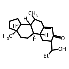 CCC(O)C1C[C@H]2C(=CC1=O)CC(C)[C@@H]1[C@@H]2CC[C@]2(C)CCC[C@@H]12